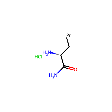 CC(C)C[C@@H](N)C(N)=O.Cl